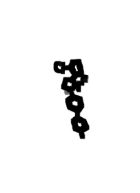 Cc1ccc(-c2ccc([C@H]3CCC(c4c(F)cccc4Cl)=N3)cc2)cc1